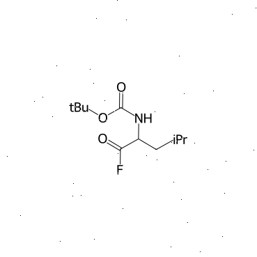 CC(C)CC(NC(=O)OC(C)(C)C)C(=O)F